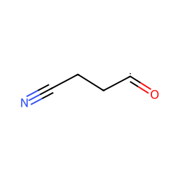 N#CCC[C]=O